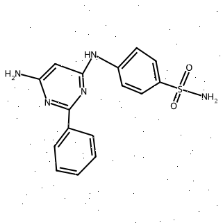 Nc1cc(Nc2ccc(S(N)(=O)=O)cc2)nc(-c2ccccc2)n1